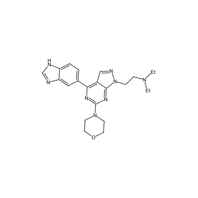 CCN(CC)CCn1ncc2c(-c3ccc4[nH]cnc4c3)nc(N3CCOCC3)nc21